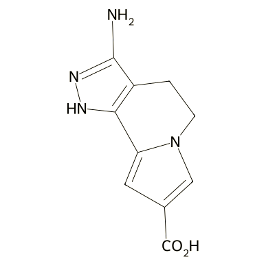 Nc1n[nH]c2c1CCn1cc(C(=O)O)cc1-2